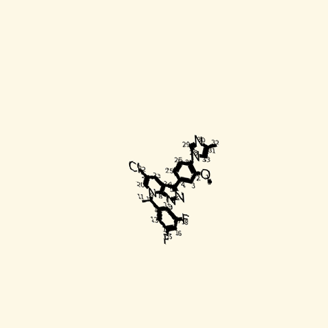 COc1cc(-c2nnc3n([C@H](C)c4cc(F)cc(F)c4)cc(Cl)cc2-3)ccc1-n1cnc(C)c1